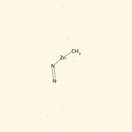 [CH3][Zn][N]=[N]